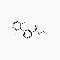 CCOC(=O)c1cccc(-c2c(C)cccc2C)c1